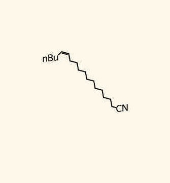 CCCC/C=C\CCCCCCCCCCCC#N